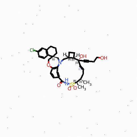 C[C@@H]1[C@@H](C)C/C=C/[C@](O)(C#CCCO)[C@@H]2CC[C@H]2CN2C[C@@]3(CCCc4cc(Cl)ccc43)COc3ccc(cc32)C(=O)NS1(=O)=O